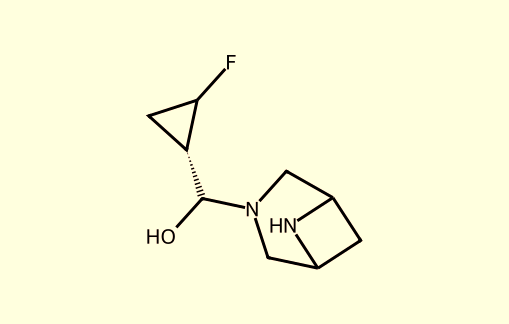 OC([C@@H]1CC1F)N1CC2CC(C1)N2